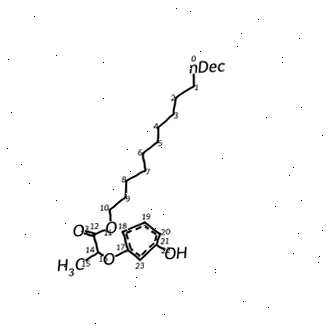 CCCCCCCCCCCCCCCCCCCCOC(=O)C(C)Oc1cccc(O)c1